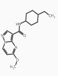 CCC1CCC(NC(=O)c2cnn3ccc(OC)nc23)CC1